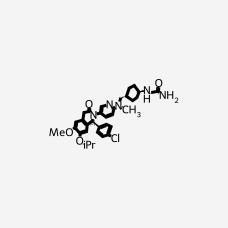 COc1cc2c(cc1OC(C)C)[C@H](c1ccc(Cl)cc1)N(c1ccc(N(C)C[C@H]3CC[C@H](NCC(N)=O)CC3)nc1)C(=O)C2